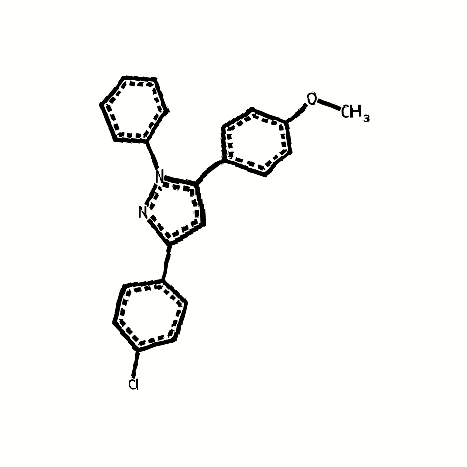 COc1ccc(-c2cc(-c3ccc(Cl)cc3)nn2-c2ccccc2)cc1